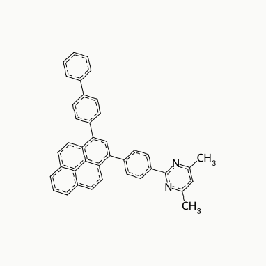 Cc1cc(C)nc(-c2ccc(-c3cc(-c4ccc(-c5ccccc5)cc4)c4ccc5cccc6ccc3c4c56)cc2)n1